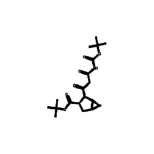 CC(C)(C)OC(=O)NC(=O)CC(=O)C1C2CC2CN1C(=O)OC(C)(C)C